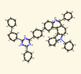 c1ccc(-c2cccc(-c3nc(-c4ccccc4)nc(-c4ccc(-c5ccc6nc(-c7ccccc7)c7ccc8c(c9ccccc9n8-c8ccccc8)c7c6c5)cc4)n3)c2)cc1